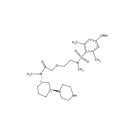 COc1cc(C)c(S(=O)(=O)N(C)CCOCC(=O)N(C)[C@H]2CCC[C@H](N3CCNCC3)C2)c(C)c1